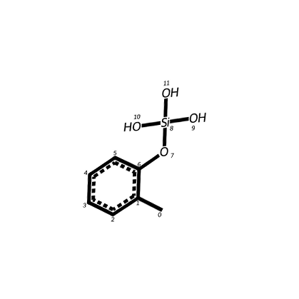 Cc1ccccc1O[Si](O)(O)O